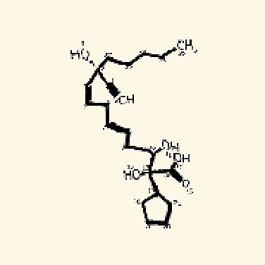 C#C[C@@](O)(/C=C\C/C=C/C[C@@H](O)[C@](O)(C(=O)O)C1CCCC1)CCCCC